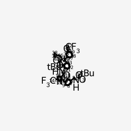 CC(C)(C)OC(=O)NCc1cccc(-n2nc(C(F)(F)F)cc2C(=O)Nc2cccc(C(c3cccc(OC(F)(F)F)c3)N(CC3CC3)C(=O)OC(C)(C)C)c2)c1